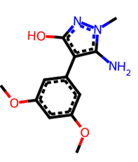 COc1cc(OC)cc(-c2c(O)nn(C)c2N)c1